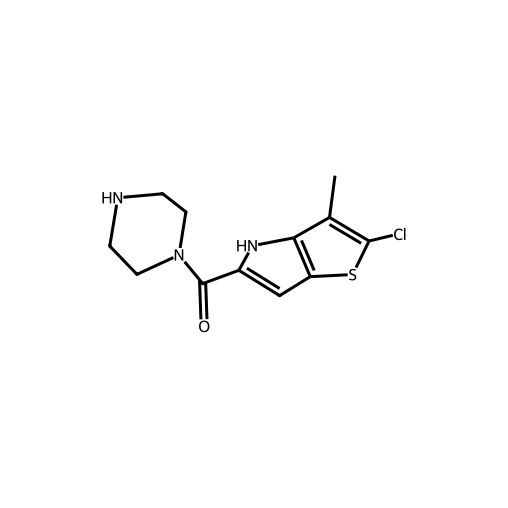 Cc1c(Cl)sc2cc(C(=O)N3CCNCC3)[nH]c12